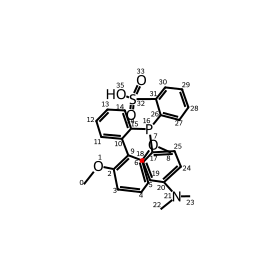 COc1cccc(OC)c1-c1ccccc1P(c1ccc(N(C)C)cc1)c1ccccc1S(=O)(=O)O